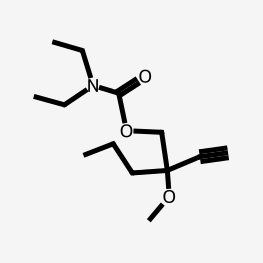 C#CC(CCC)(COC(=O)N(CC)CC)OC